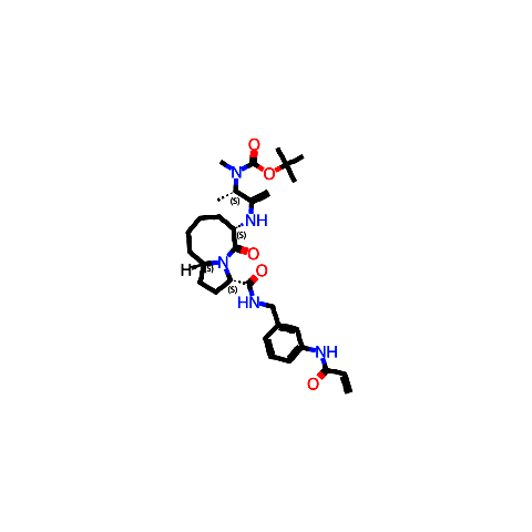 C=CC(=O)Nc1cccc(CNC(=O)[C@@H]2CC[C@@H]3CCCC[C@H](NC(=C)[C@H](C)N(C)C(=O)OC(C)(C)C)C(=O)N32)c1